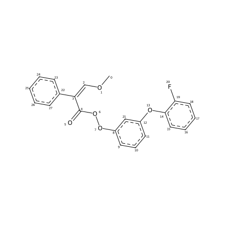 COC=C(C(=O)OOc1cccc(Oc2ccccc2F)c1)c1ccccc1